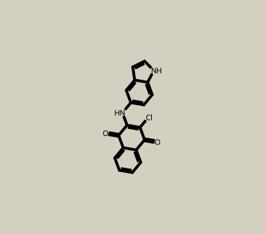 O=C1C(Cl)=C(Nc2ccc3[nH]ccc3c2)C(=O)c2ccccc21